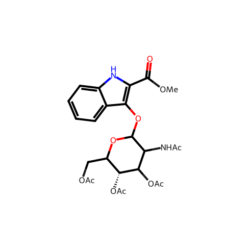 COC(=O)c1[nH]c2ccccc2c1OC1OC(COC(C)=O)[C@@H](OC(C)=O)C(OC(C)=O)C1NC(C)=O